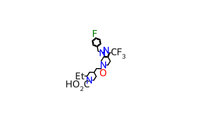 CCC1CC(CC(=O)N2CCc3c(C(F)(F)F)nn(Cc4ccc(F)cc4)c3C2)CCN1C(=O)O